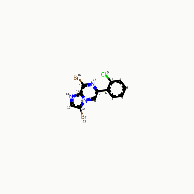 Clc1ccccc1-c1cn2c(Br)cnc2c(Br)n1